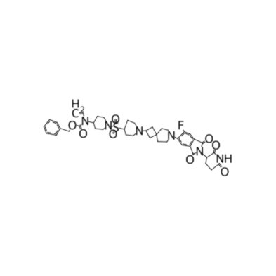 C=CN(C(=O)OCc1ccccc1)C1CCN(S(=O)(=O)C2CCN(C3CC4(CCN(c5cc6c(cc5F)C(=O)N(C5CCC(=O)NC5=O)C6=O)CC4)C3)CC2)CC1